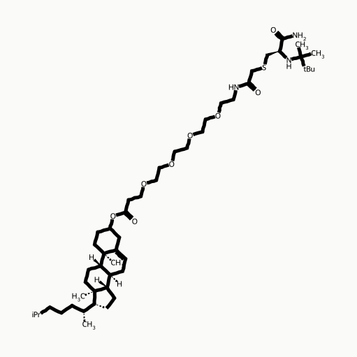 CC(C)CCC[C@@H](C)[C@H]1CC[C@H]2[C@@H]3CC=C4CC(OC(=O)CCOCCOCCOCCOCCNC(=O)CSC[C@H](NC(C)(C)C(C)(C)C)C(N)=O)CC[C@]4(C)[C@H]3CC[C@]12C